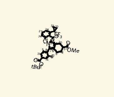 COC(=O)C1CCc2c(-c3ccc(C(=O)OC(C)(C)C)cc3F)nn(C(=O)c3c(Cl)cccc3C3(C(F)(F)F)CC3)c2C1